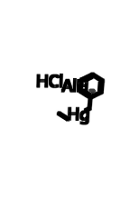 C[CH2][Hg][CH2]c1ccccc1.Cl.[AlH3]